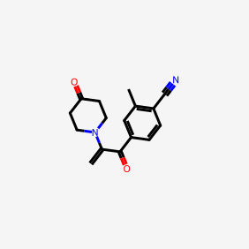 C=C(C(=O)c1ccc(C#N)c(C)c1)N1CCC(=O)CC1